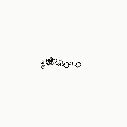 CC(O)(COCc1ccc(OCc2ccccc2)cc1)Cn1cc([N+](=O)[O-])nc1Br